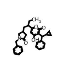 CCC(CC1CC(=O)N(Cc2ccccc2)C1)c1cc(O)c(C(c2ccccc2)C2CC2)c(=O)o1